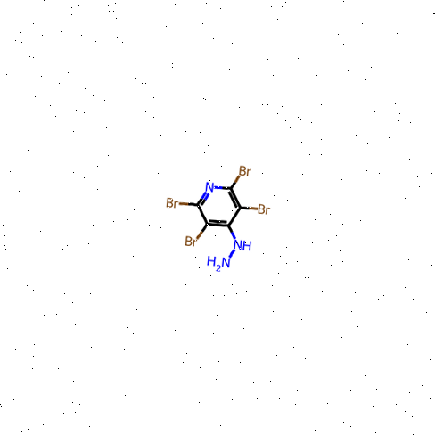 NNc1c(Br)c(Br)nc(Br)c1Br